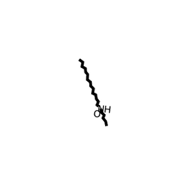 CCCCCCCCCCCCCCCNC(=O)CCCC